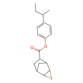 CCC(C)c1ccc(OC(=O)C2CC3CC2C2SC32)cc1